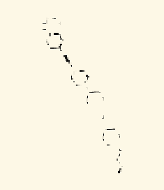 C=CCC[C@H]1CC[C@H](CC[C@H]2CC[C@H](c3ccc(C#Cc4ccc(OC(F)(F)F)cc4)cc3)CC2)CC1